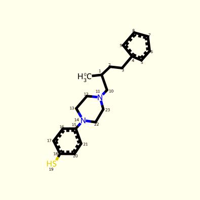 CC(CCc1ccccc1)CN1CCN(c2ccc(S)cc2)CC1